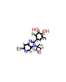 CCc1cc2nc(-c3cc(C)c(O)c(O)c3F)n(C3(C)COC3)c2cn1